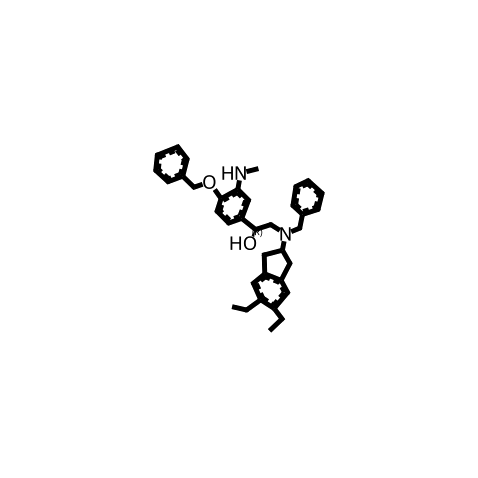 CCc1cc2c(cc1CC)CC(N(Cc1ccccc1)C[C@H](O)c1ccc(OCc3ccccc3)c(NC)c1)C2